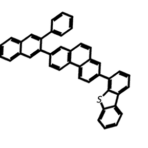 c1ccc(-c2cc3ccccc3cc2-c2ccc3c(ccc4cc(-c5cccc6c5sc5ccccc56)ccc43)c2)cc1